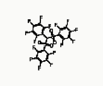 O=S(=O)(c1c(F)c(F)c(F)c(F)c1F)C(c1c(F)c(F)c(F)c(F)c1F)S(=O)(=O)c1c(F)c(F)c(F)c(F)c1F